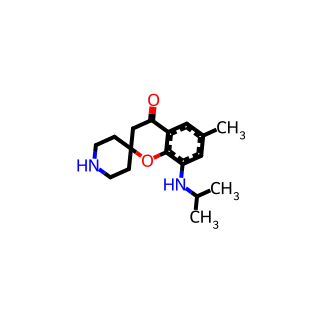 Cc1cc(NC(C)C)c2c(c1)C(=O)CC1(CCNCC1)O2